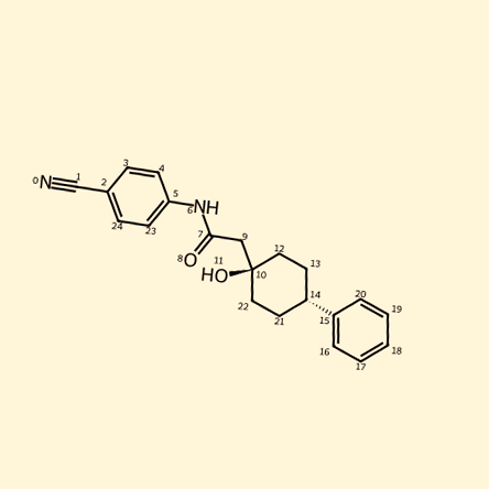 N#Cc1ccc(NC(=O)C[C@]2(O)CC[C@H](c3ccccc3)CC2)cc1